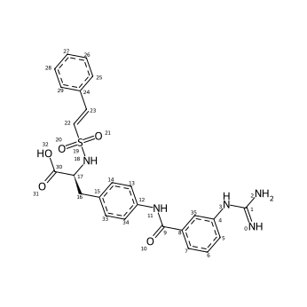 N=C(N)Nc1cccc(C(=O)Nc2ccc(C[C@H](NS(=O)(=O)C=Cc3ccccc3)C(=O)O)cc2)c1